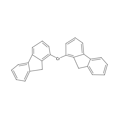 c1ccc2c(c1)Cc1[c]([Cr][c]3cccc4c3Cc3ccccc3-4)cccc1-2